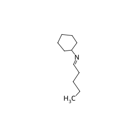 CCCC/C=N/C1CCCCC1